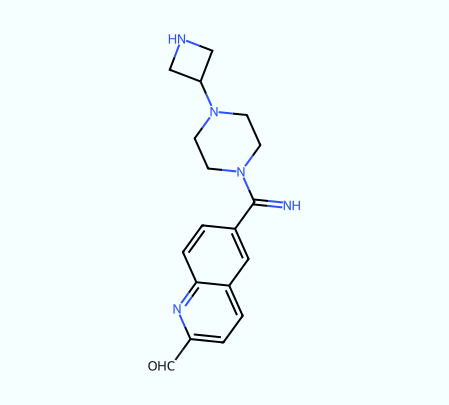 N=C(c1ccc2nc(C=O)ccc2c1)N1CCN(C2CNC2)CC1